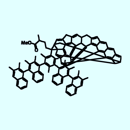 COC(=O)C(C)CCC1(c2c(C)c(-c3c(C)c(C)c(-c4c(C)c(C)cc5ccccc45)c4ccccc34)c(C)c(-c3c(C)c(C)c(-c4c(C)c(C)cc5ccccc45)c4ccccc34)c2C)C23C=C4CC5=CC6Cc7cc8cc9cc%10c%11c%12c%13c%14c%15c(c4c5c4c%15c5c(c7c8c(c9%12)c5%13)C46)C21C=%14C%11C(C=%10)C3